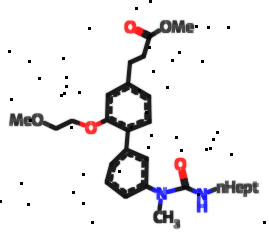 CCCCCCCNC(=O)N(C)c1cccc(-c2ccc(CCC(=O)OC)cc2OCCOC)c1